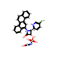 O=C=NS(=O)(=O)O[C@@H]1C(=O)N(c2cc3c4ccccc4ccc3c3ccccc23)[C@H]1c1ccc(F)cn1